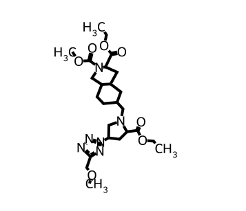 CCOC(=O)C1CC(n2nnc(COC)n2)CN1CC1CCC2CN(C(=O)OC)C(C(=O)OCC)CC2C1